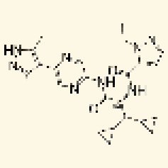 CCn1nccc1C(=O)N[C@H](C(=O)Nc1cnc(-c2c(C)n[nH]c2C)cn1)C(C1CC1)C1CC1